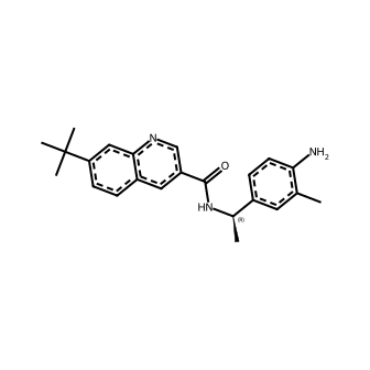 Cc1cc([C@@H](C)NC(=O)c2cnc3cc(C(C)(C)C)ccc3c2)ccc1N